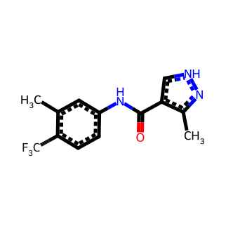 Cc1cc(NC(=O)c2c[nH]nc2C)ccc1C(F)(F)F